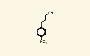 N#CCCCc1ccc([N+](=O)[O-])cc1